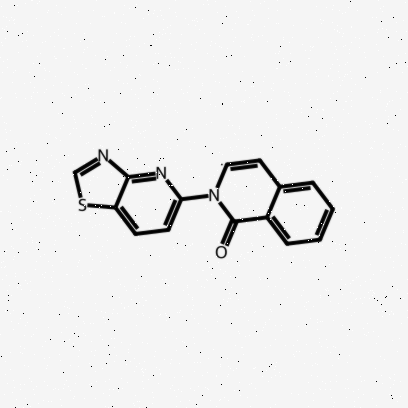 O=c1c2ccccc2c[c]n1-c1ccc2scnc2n1